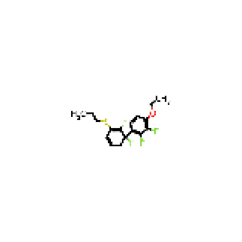 CCCSC1=C(F)C(F)(c2ccc(OCC)c(F)c2F)CC=C1